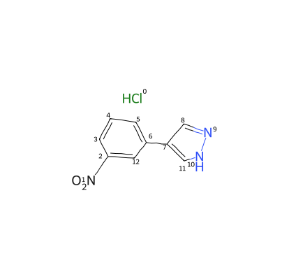 Cl.O=[N+]([O-])c1cccc(-c2cn[nH]c2)c1